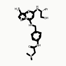 Bc1cnn2c(NCc3ccc(NC(=O)CN(C)C)cc3)cc(N[C@@H](CO)C(C)C)nc12